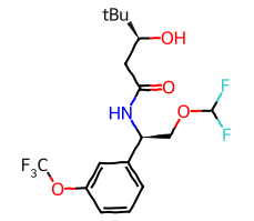 CC(C)(C)[C@@H](O)CC(=O)N[C@@H](COC(F)F)c1cccc(OC(F)(F)F)c1